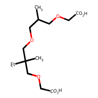 CCC(C)(COCC(=O)O)COCC(C)COCC(=O)O